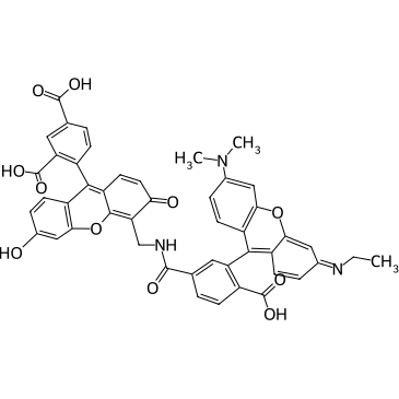 CC/N=c1/ccc2c(-c3cc(C(=O)NCc4c5oc6cc(O)ccc6c(-c6ccc(C(=O)O)cc6C(=O)O)c-5ccc4=O)ccc3C(=O)O)c3ccc(N(C)C)cc3oc-2c1